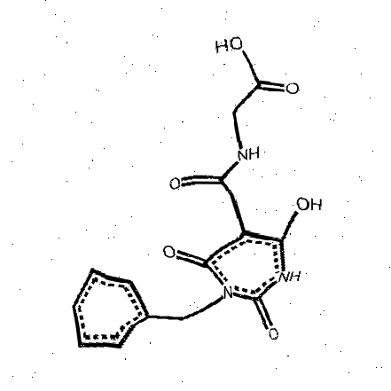 O=C(O)CNC(=O)c1c(O)[nH]c(=O)n(Cc2ccccc2)c1=O